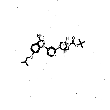 CC(C)COc1ccc2c(N)nn(-c3ccnc(N4C[C@@H]5C[C@H]4CN5C(=O)OC(C)(C)C)c3)c2c1